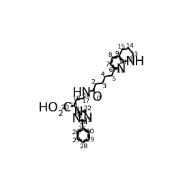 O=C(CCCCc1ccc2c(n1)NCCC2)NCCC(C(=O)O)n1cnc(-c2ccccc2)n1